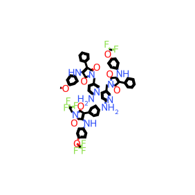 COc1ccc(NC2=C(c3ccccc3)C(=O)N(Cc3ccc(N)nc3)C2=O)cc1.Nc1ccc(CN2C(=O)C(Nc3ccc(OC(F)F)cc3)=C(c3ccccc3)C2=O)cn1.O=C1C(Nc2ccc(OC(F)(F)F)cc2)=C(c2ccccc2)C(=O)N1CC(F)(F)F